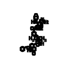 CCc1nc2c(cnn2CC)c(NC2CCOCC2)c1CNC(=O)c1cccc(CC(C)(C)NC[C@H](OS)c2ccc(OCc3ccccc3)c3[nH]c(=O)ccc23)c1